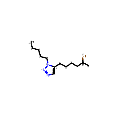 CC(C)CCCCn1nncc1CCCCC(C)S